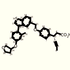 CC#C[C@@H](CC(=O)O)c1ccc(OCc2ccc3scc(-c4ccc(OC5CCOC5)cc4C)c3c2)cc1